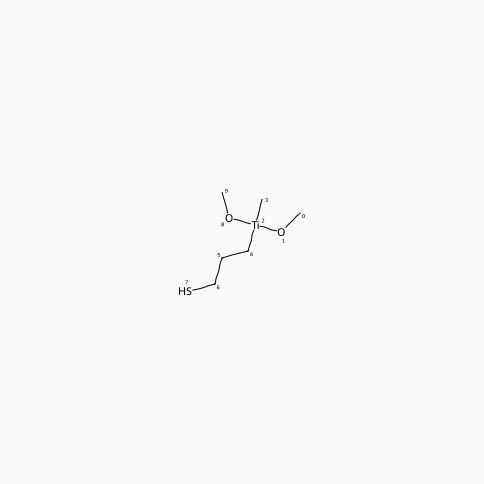 C[O][Ti]([CH3])([CH2]CCS)[O]C